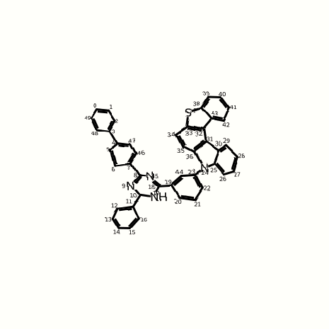 c1ccc(-c2ccc(C3=NC(c4ccccc4)NC(c4cccc(-n5c6ccccc6c6c7c(ccc65)sc5ccccc57)c4)=N3)cc2)cc1